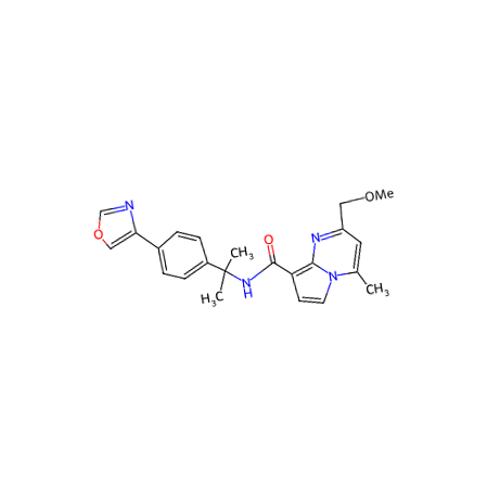 COCc1cc(C)n2ccc(C(=O)NC(C)(C)c3ccc(-c4cocn4)cc3)c2n1